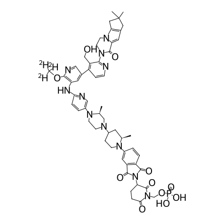 [2H]C([2H])([2H])Oc1ncc(-c2ccnc(N3CCn4c(cc5c4CC(C)(C)C5)C3=O)c2CO)cc1Nc1ccc(N2CCN(C3CCN(c4ccc5c(c4)C(=O)N(C4CCC(=O)N(COP(=O)(O)O)C4=O)C5=O)[C@H](C)C3)C[C@@H]2C)cn1